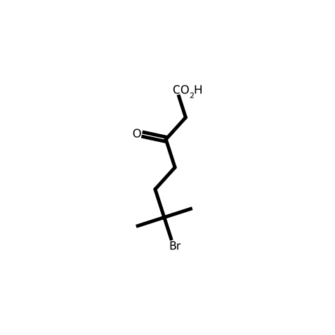 CC(C)(Br)CCC(=O)CC(=O)O